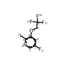 Fc1cnc(I)c(OCC(F)(F)F)c1